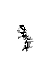 N#Cc1cc(S(=O)(=O)Nc2cc(-c3ccccc3)c(F)cc2F)ccc1F